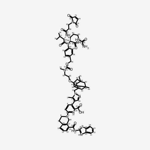 Cc1c(-c2ccc(N3CCc4cccc(C(=O)Nc5nc6ccccc6s5)c4C3)nc2C(=O)O)cnn1CC12CC3(C)CC(C)(C1)CC(OCCN(C)C(=O)OCc1ccc(N(C(=O)[C@@H](NC(=O)CCN4C(=O)C=CC4=O)C(C)C)[C@@H](CCCNC(N)=O)C(N)=O)cc1)(C3)C2